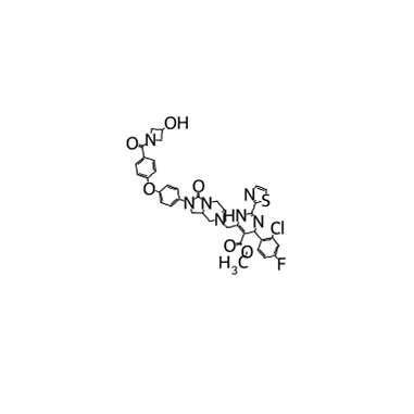 COC(=O)C1=C(CN2CCN3C(=O)N(c4ccc(Oc5ccc(C(=O)N6CC(O)C6)cc5)cc4)CC3C2)NC(c2nccs2)=NC1c1ccc(F)cc1Cl